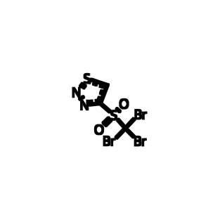 O=S(=O)(c1csnn1)C(Br)(Br)Br